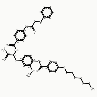 CCCCCCCOc1ccc(C(=O)Oc2ccc(CC(NC(=O)c3ccc(NC(=O)COc4ccccc4)cc3)C(C)=O)cc2OC)cc1